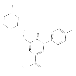 COC(=O)c1cc(OC[C@H]2CN(C)CCO2)c(=O)n(-c2ccc(C)cc2)c1